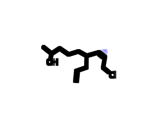 C=CCC(/C=C\CCl)CCCC(C)O